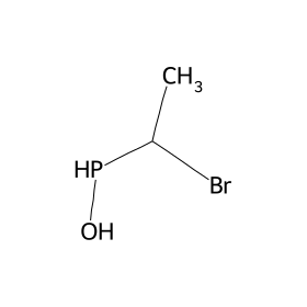 CC(Br)PO